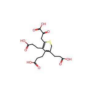 O=C(O)CCC1=C(CCC(=O)O)C(CCC(=O)O)=C(CC(=O)C(=O)O)SC1